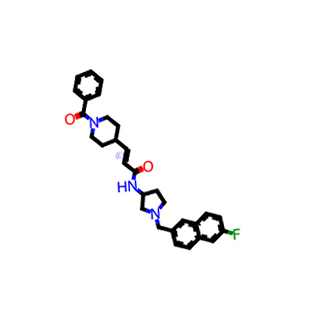 O=C(/C=C/C1CCN(C(=O)c2ccccc2)CC1)NC1CCN(Cc2ccc3cc(F)ccc3c2)C1